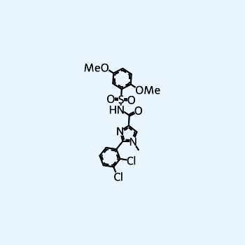 COc1ccc(OC)c(S(=O)(=O)NC(=O)c2cn(C)c(-c3cccc(Cl)c3Cl)n2)c1